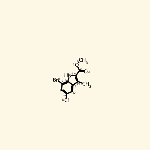 COC(=O)c1[nH]c2c(Br)cc(Cl)cc2c1C